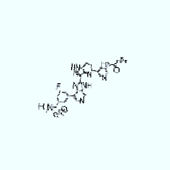 CCCC(=O)Nc1cncc(-c2ccc3[nH]nc(-c4nc5c(-c6cc(F)cc(C(N)S(C)(=O)=O)c6)cncc5[nH]4)c3n2)c1